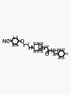 N#Cc1ccc(OCCCN2CC3CN(CC(=O)NCc4ccccc4)CC(C2)O3)cc1